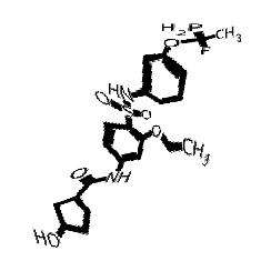 CCOc1cc(NC(=O)C2CCC(O)C2)ccc1S(=O)(=O)Nc1cccc(OC(C)(F)P)c1